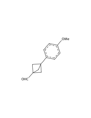 COc1ccc(C23CC(C=O)(C2)C3)cc1